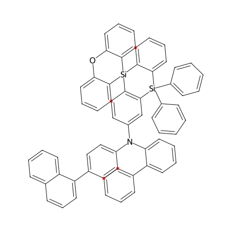 c1ccc(-c2ccccc2N(c2ccc(-c3cccc4ccccc34)cc2)c2ccc3c(c2)[Si](c2ccccc2)(c2ccccc2)c2ccccc2[Si]32c3ccccc3Oc3ccccc32)cc1